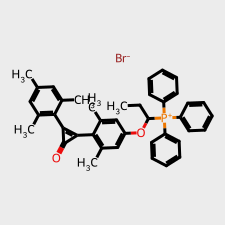 CCC(Oc1cc(C)c(-c2c(-c3c(C)cc(C)cc3C)c2=O)c(C)c1)[P+](c1ccccc1)(c1ccccc1)c1ccccc1.[Br-]